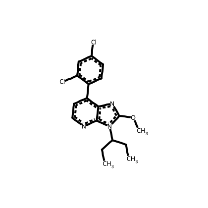 CCC(CC)n1c(OC)nc2c(-c3ccc(Cl)cc3Cl)ccnc21